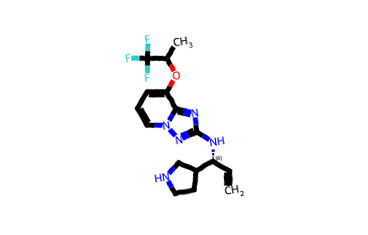 C=C[C@@H](Nc1nc2c(OC(C)C(F)(F)F)cccn2n1)C1CCNC1